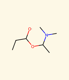 CCC([O])OC(C)N(C)C